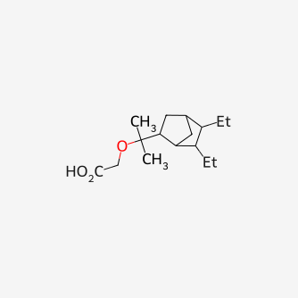 CCC1C2CC(C1CC)C(C(C)(C)OCC(=O)O)C2